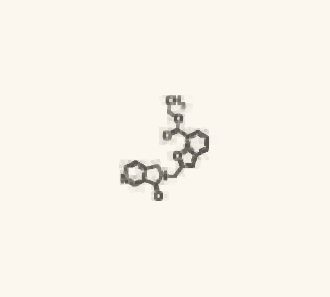 CCOC(=O)c1cccc2cc(CN3Cc4ccncc4C3=O)oc12